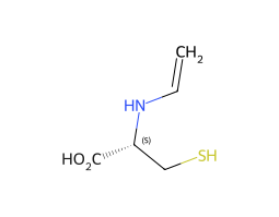 C=CN[C@H](CS)C(=O)O